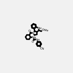 COCC1Nc2ccccc2C2C1CCN2C(=O)C1CCCCC1NC(=O)Nc1ccc(C#N)cc1